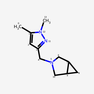 Cc1cc(CN2CC3CC3C2)nn1C